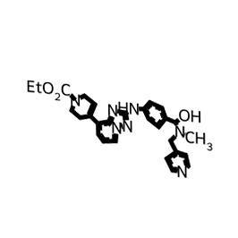 CCOC(=O)N1CC=C(c2cccn3nc(Nc4ccc(C(O)N(C)Cc5ccncc5)cc4)nc23)CC1